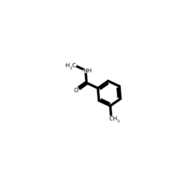 [CH2]NC(=O)c1cccc(C)c1